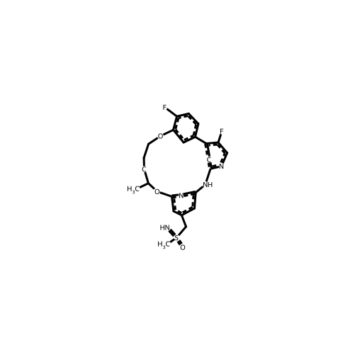 CC1CCCOc2cc(ccc2F)-c2cc(ncc2F)Nc2cc(CS(C)(=N)=O)cc(n2)O1